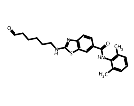 Cc1cccc(C)c1NC(=O)c1ccc2nc(NCCCCCC=O)sc2c1